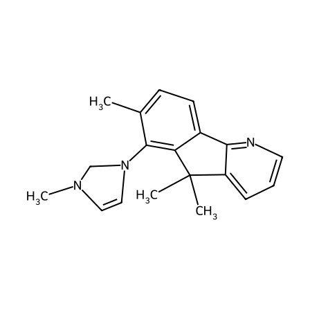 Cc1ccc2c(c1N1C=CN(C)C1)C(C)(C)c1cccnc1-2